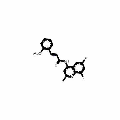 COc1ccccc1/C=C/C(=O)Nc1cc(C)nc2c(F)cc(F)cc12